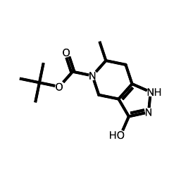 CC1Cc2[nH]nc(O)c2CN1C(=O)OC(C)(C)C